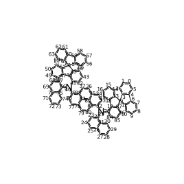 c1ccc2c(c1)-c1ccccc1C21c2ccccc2-c2c(N(c3cccc4ccccc34)c3ccc4ccc5c(N(c6cccc7c6-c6ccccc6C76c7ccccc7-c7ccccc76)c6cccc7ccccc67)ccc6ccc3c4c65)cccc21